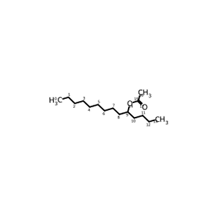 CCCCCCCCCC(CCCC)OC(C)=O